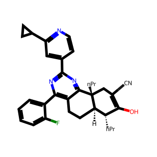 CCC[C@H]1C(O)=C(C#N)C[C@@]2(CCC)c3nc(-c4ccnc(C5CC5)c4)nc(-c4ccccc4F)c3CC[C@H]12